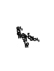 CCC(=O)CCCCC[C@H](NC(=O)C1=NOC2(CCN(C)CC2)C1)c1ncc(-c2cc3ccc(C)nc3cc2F)[nH]1